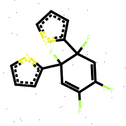 FC1=[C]C(F)(c2cccs2)C(F)(c2cccs2)[C]=C1F